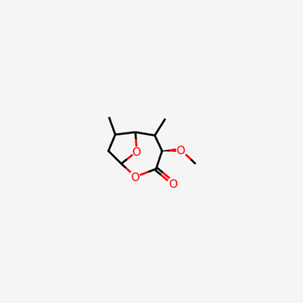 CO[C@H]1C(=O)OC2CC(C)C(O2)C1C